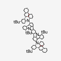 CC(C)(C)c1ccc(N(c2ccccc2)c2ccc3c4cc5c(cc4n4c6c(C(C)(C)C)cccc6c2c34)c2ccc(N(c3ccccc3)c3ccc(C(C)(C)C)cc3-c3ccc4ccccc4c3)c3c4cccc(C(C)(C)C)c4n5c23)c(-c2ccc3ccccc3c2)c1